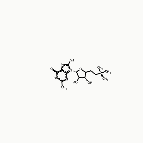 C=P(C)(C)CCC1O[C@@H](n2c(S)nc3c(=O)[nH]c(C)nc32)[C@H](O)[C@@H]1O